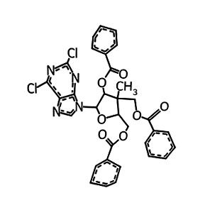 CC1(COC(=O)c2ccccc2)C(COC(=O)c2ccccc2)OC(n2cnc3c(Cl)nc(Cl)nc32)C1OC(=O)c1ccccc1